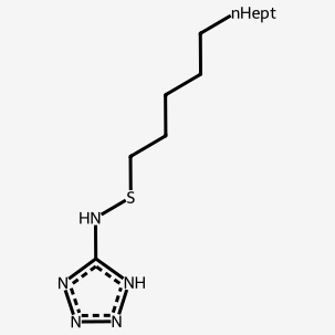 CCCCCCCCCCCCSNc1nnn[nH]1